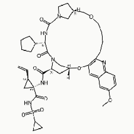 C=C[C@@H]1C[C@]1(NC(=O)[C@@H]1C[C@@H]2CN1C(=O)[C@H](C1CCCC1)NC(=O)N1CC[C@H](COCCCCc3nc4ccc(OC)cc4cc3O2)C1)C(=O)NS(=O)(=O)C1CC1